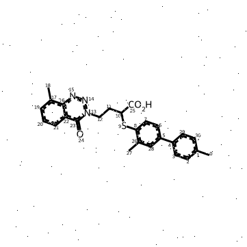 Cc1ccc(-c2ccc(SC(CCn3nnc4c(C)cccc4c3=O)C(=O)O)c(C)c2)cc1